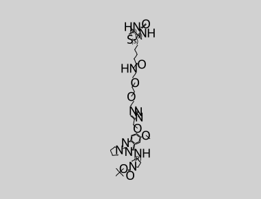 COc1cc2c(N[C@@H]3CCN(C(=O)OC(C)(C)C)C3)nc(N3CCCC3)nc2cc1OCc1cn(CCOCCOCCNC(=O)CCCC[C@@H]2SC[C@]3(C)NC(=O)N[C@]23C)nn1